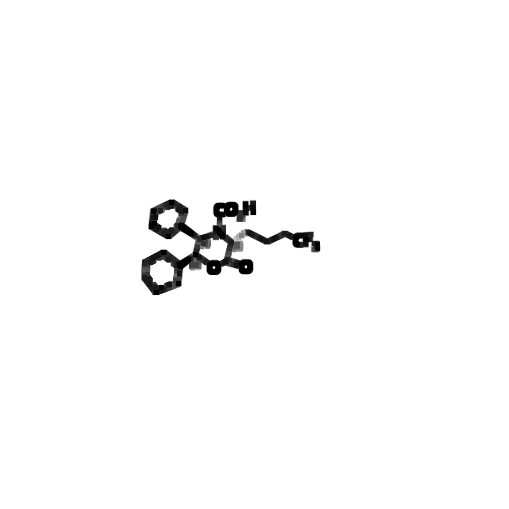 O=C1O[C@@H](c2ccccc2)[C@@H](c2ccccc2)N(C(=O)O)[C@@H]1CCCC(F)(F)F